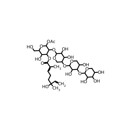 C=CC(C)(O)CC/C=C(\C)C(=O)OC1C(O)C(CO)OC(OC(C)=O)C1OC1OCC(OC2OCC(O)C(OC3OCC(O)C(O)C3O)C2O)C(O)C1O